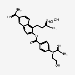 Cl.Cl.N=C(N)c1ccc2c(CCC(N)=O)c(OC(=O)c3ccc(N(CCO)C(=N)N)cc3)ccc2c1